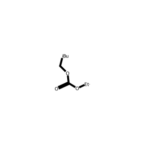 C[CH]OC(=O)OCC(C)CC